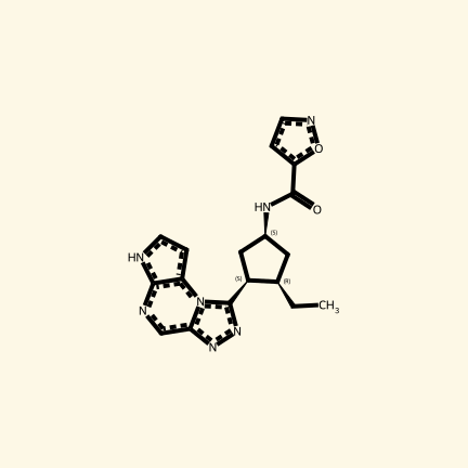 CC[C@@H]1C[C@H](NC(=O)c2ccno2)C[C@@H]1c1nnc2cnc3[nH]ccc3n12